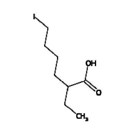 CCC(CCCCI)C(=O)O